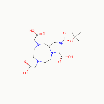 CC(C)(C)OC(=O)NCC1CN(CC(=O)O)CCN(CC(=O)O)CCN1CC(=O)O